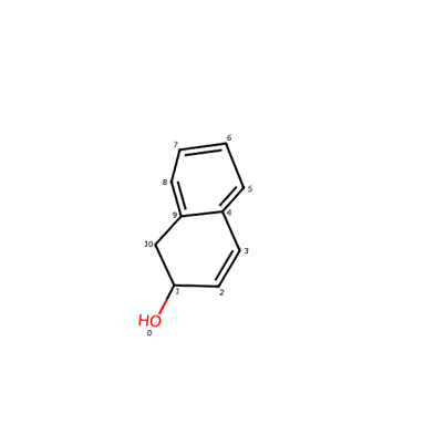 OC1C=Cc2ccccc2C1